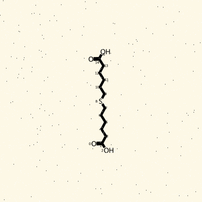 O=C(O)CCCCCSCCCCCC(=O)O